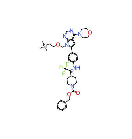 C[Si](C)(C)CCOCn1c(-c2ccc(N[C@@H](C3CCN(C(=O)OCc4ccccc4)CC3)C(F)(F)F)cc2)cc2c(N3CCOCC3)ncnc21